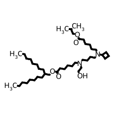 CCCCCCCCC(CCCCCCCC)COC(=O)CCCCCN(CCO)CCCCN(CCCCCC(=O)OCC(C)C)C1CCC1